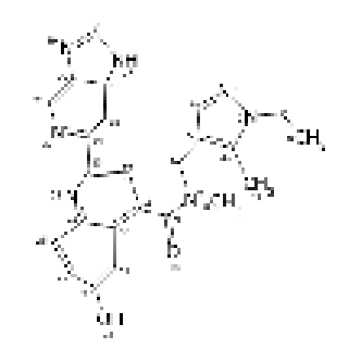 CCn1ncc(CN(C)C(=O)c2cc(-c3cc4[nH]cnc4cn3)nc3ccc(O)cc23)c1C